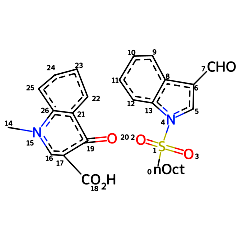 CCCCCCCCS(=O)(=O)n1cc(C=O)c2ccccc21.Cn1cc(C(=O)O)c(=O)c2ccccc21